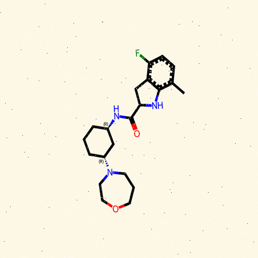 Cc1ccc(F)c2c1NC(C(=O)N[C@@H]1CCC[C@@H](N3CCCOCC3)C1)C2